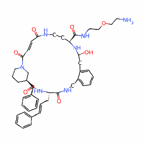 NCCOCCNC(=O)[C@@H]1CCNC(=O)/C=C/C(=O)N2CCC[C@](Cc3ccccc3)(C2)C(=O)N[C@@H](C/C=C/c2ccccc2)C(=O)NCc2ccccc2CC(O)N1